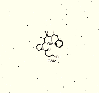 CC[C@H](C)C[C@@H](CC(=O)N1CCC[C@H]1[C@@H](OC)[C@@H](C)C(=O)N[C@H](C)Cc1ccccc1)OC